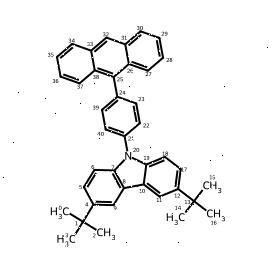 CC(C)(C)c1ccc2c(c1)c1cc(C(C)(C)C)ccc1n2-c1ccc(-c2c3ccccc3cc3ccccc23)cc1